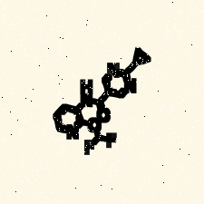 O=C(Nc1cccnc1OC(F)F)c1cnc(C2CC2)nc1